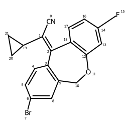 N#C/C(=C1/c2ccc(Br)cc2COc2cc(F)ccc21)C1CC1